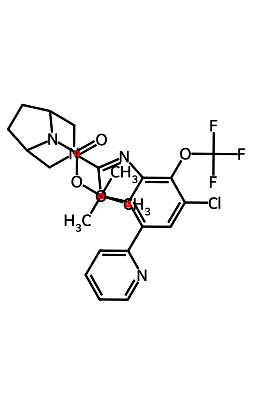 CC(C)(C)OC(=O)N1C2CCC1CN(c1nc3c(OC(F)(F)F)c(Cl)cc(-c4ccccn4)c3o1)C2